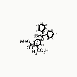 COC(=O)[C@@]1(C)CC[C@@H](O[Si](c2ccccc2)(c2ccccc2)C(C)(C)C)C[C@H]1C(=O)O